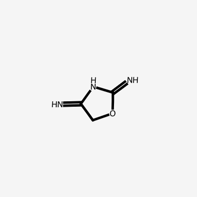 N=C1COC(=N)N1